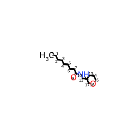 CCCC/C=C/C=C/C(=O)NCC1CCCOC1